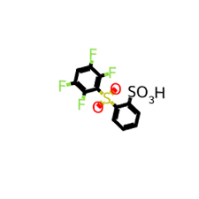 O=S(=O)(O)c1ccccc1S(=O)(=O)c1c(F)c(F)cc(F)c1F